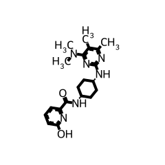 Cc1nc(N[C@H]2CC[C@@H](NC(=O)c3cccc(O)n3)CC2)nc(N(C)C)c1C